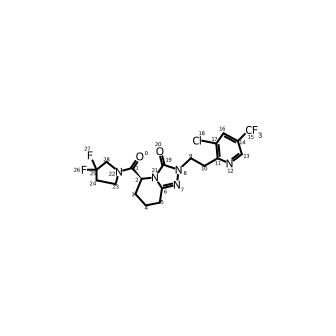 O=C([C@@H]1CCCc2nn(CCc3ncc(C(F)(F)F)cc3Cl)c(=O)n21)N1CCC(F)(F)C1